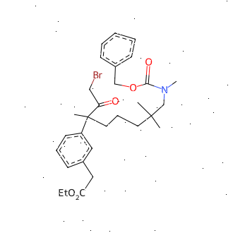 CCOC(=O)Cc1cccc(C(C)(CCCC(C)(C)CN(C)C(=O)OCc2ccccc2)C(=O)CBr)c1